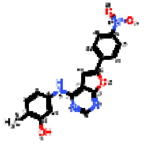 Cc1ccc(Nc2ncnc3oc(-c4ccc([N+](=O)[O-])cc4)cc23)cc1O